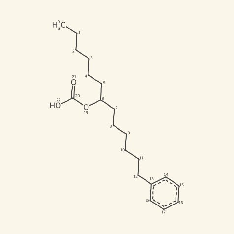 CCCCCCC(CCCCCCc1ccccc1)OC(=O)O